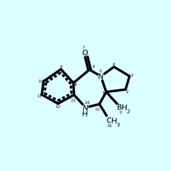 BC12CCCN1C(=O)c1ccccc1NC2C